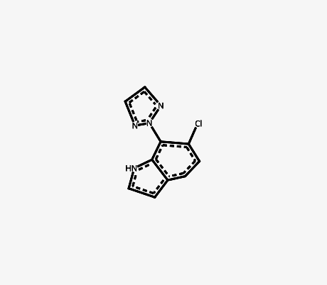 Clc1ccc2cc[nH]c2c1-n1nccn1